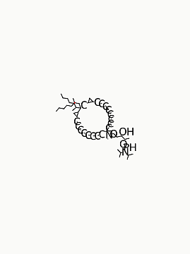 CCCCCC(C)CC1(C(C)CCCCC)CC2CC2CCCCCCCCC(N(C)OCC(O)C(C)OPN(C(C)C)C(C)C)CCCCCCCCC2CC21